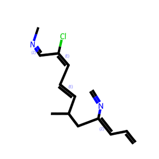 C=C/C=C(/CC(C)/C=C/C=C(Cl)\C=N/C)N=C